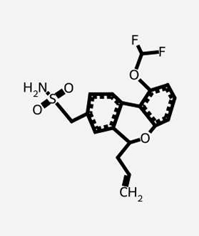 C=CCC1Oc2cccc(OC(F)F)c2-c2ccc(CS(N)(=O)=O)cc21